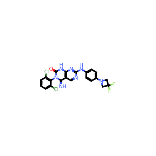 N=c1c2cnc(Nc3ccc(N4CC(F)(F)C4)cc3)nc2[nH]c(=O)n1-c1c(Cl)cccc1Cl